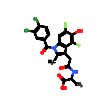 Cc1c(CC(=O)NC(C)C(=O)O)c2c(F)c(O)c(F)cc2n1C(=O)c1ccc(Cl)c(Cl)c1